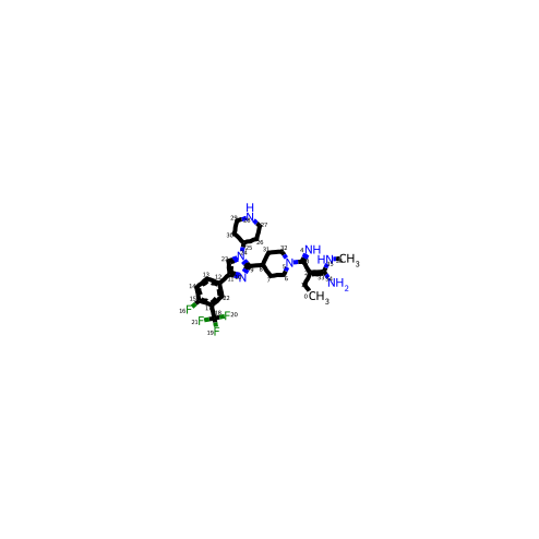 CC/C(C(=N)N1CCC(c2nc(-c3ccc(F)c(C(F)(F)F)c3)cn2C2CCNCC2)CC1)=C(\N)NC